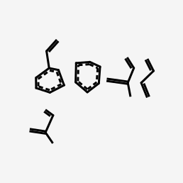 C=CC(=C)C.C=CC(=C)C.C=CC=C.C=Cc1ccccc1.c1ccccc1